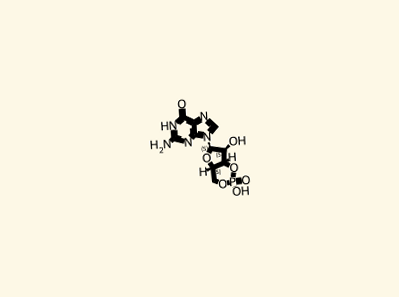 Nc1nc2c(ncn2[C@H]2O[C@H]3COP(=O)(O)O[C@H]3[C@@H]2O)c(=O)[nH]1